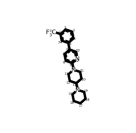 FC(F)(F)c1cccc(-c2ccc(N3CCC(N4CCCCC4)CC3)nc2)c1